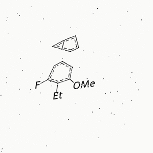 CCc1c(F)cccc1OC.c1cc2cc-2c1